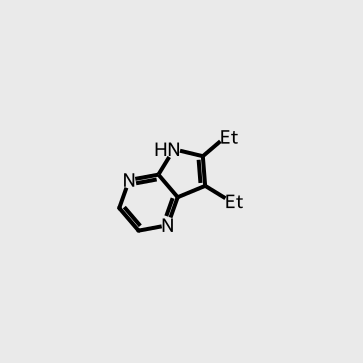 CCc1[nH]c2nccnc2c1CC